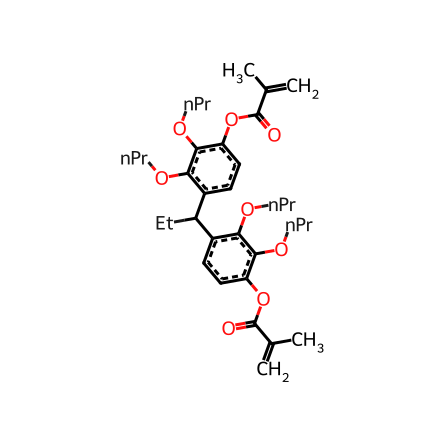 C=C(C)C(=O)Oc1ccc(C(CC)c2ccc(OC(=O)C(=C)C)c(OCCC)c2OCCC)c(OCCC)c1OCCC